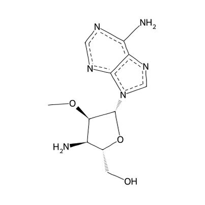 CO[C@@H]1[C@H](N)[C@@H](CO)O[C@H]1n1cnc2c(N)ncnc21